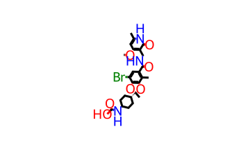 COc1cc(C)[nH]c(=O)c1CNC(=O)c1cc(Br)c2c(c1C)OC(C)([C@H]1CC[C@H](NC(=O)O)CC1)O2